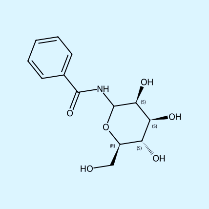 O=C(NC1O[C@H](CO)[C@@H](O)[C@H](O)[C@@H]1O)c1ccccc1